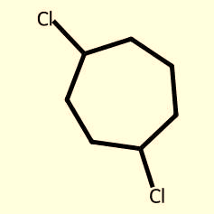 ClC1CCCC(Cl)CC1